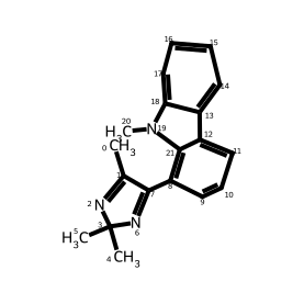 CC1=NC(C)(C)N=C1c1cccc2c3ccccc3n(C)c12